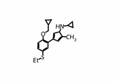 CCSc1ccc(OCC2CC2)c(C2=CC(NC3CC3)C(C)=C2)c1